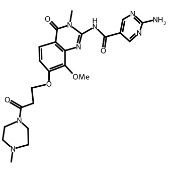 COc1c(OCCC(=O)N2CCN(C)CC2)ccc2c(=O)n(C)c(NC(=O)c3cnc(N)nc3)nc12